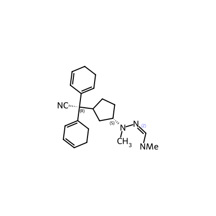 CN/C=N\N(C)[C@H]1CCC([C@](C#N)(C2=CCCC=C2)C2=CC=CCC2)C1